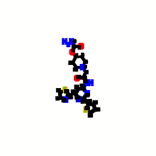 NC(=O)OC1CCN(CC(=O)Nc2cc(-c3nccs3)nc(-c3cccs3)n2)CC1